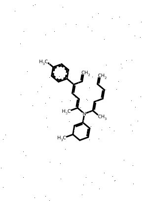 C=C/C=C\C=C(/C)N(C1=CC(C)CC=C1)/C(C)=C/C=C(\C=C)c1ccc(C)cc1